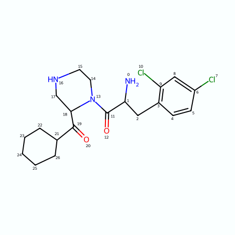 NC(Cc1ccc(Cl)cc1Cl)C(=O)N1CCNCC1C(=O)C1CCCCC1